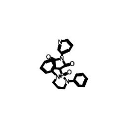 O=C1CC(P2(=O)N(c3ccccc3)CCCN2c2ccccc2)C(=O)N1c1cccnc1